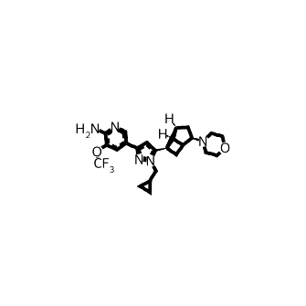 Nc1ncc(-c2cc([C@@]34CC5[C@H](N6CCOCC6)C[C@H]3[C@@H]54)n(CC3CC3)n2)cc1OC(F)(F)F